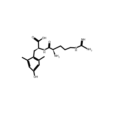 Cc1cc(O)cc(C)c1C[C@H](NC(=O)[C@H](N)CCCNC(=N)N)C(=O)O